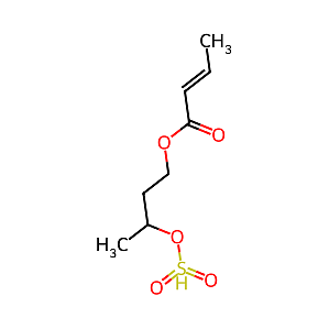 CC=CC(=O)OCCC(C)O[SH](=O)=O